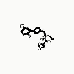 CCC[C@@H](Cc1ccc(-c2cc(Cl)ccc2F)cc1)NC(=O)c1cnco1